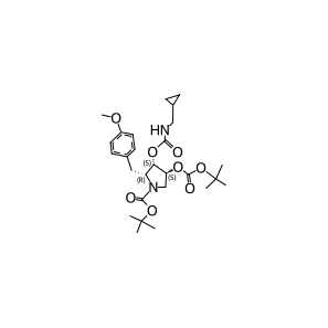 COc1ccc(C[C@@H]2[C@H](OC(=O)NCC3CC3)[C@@H](OC(=O)OC(C)(C)C)CN2C(=O)OC(C)(C)C)cc1